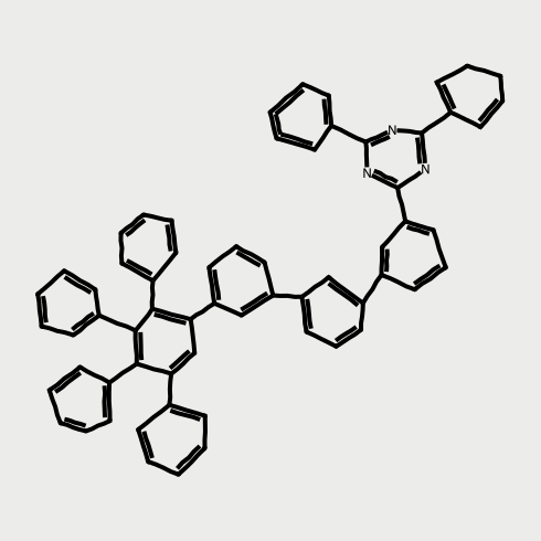 C1=C=CC(c2nc(C3=CCCC=C3)nc(-c3cccc(-c4cccc(-c5cccc(-c6cc(-c7ccccc7)c(-c7ccccc7)c(-c7ccccc7)c6-c6ccccc6)c5)c4)c3)n2)=CC=1